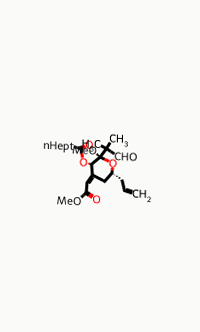 C=CC[C@@H]1C/C(=C\C(=O)OC)[C@H](OC(=O)CCCCCCC)[C@](OC)(C(C)(C)C=O)O1